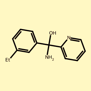 CCc1cccc(C(N)(O)c2ccccn2)c1